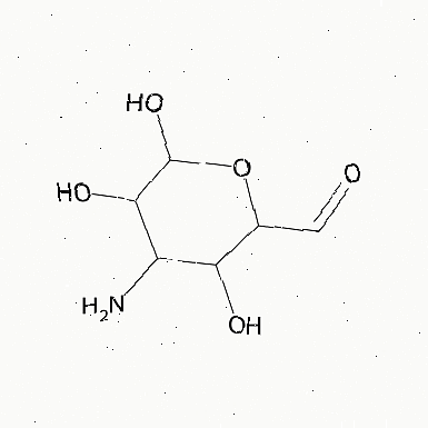 NC1C(O)C(O)OC(C=O)C1O